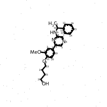 COc1cc(-c2cncc(NC(C)c3ccccc3)n2)ccc1OCCCCO